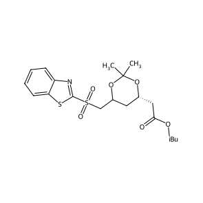 CCC(C)OC(=O)C[C@@H]1CC(CS(=O)(=O)c2nc3ccccc3s2)OC(C)(C)O1